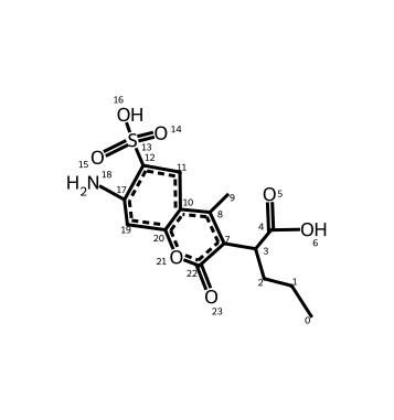 CCCC(C(=O)O)c1c(C)c2cc(S(=O)(=O)O)c(N)cc2oc1=O